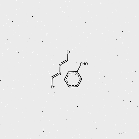 CCC=NN=CCC.O=Cc1ccccc1